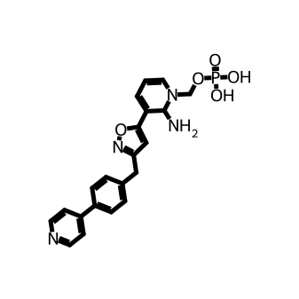 NC1C(c2cc(Cc3ccc(-c4ccncc4)cc3)no2)=CC=CN1COP(=O)(O)O